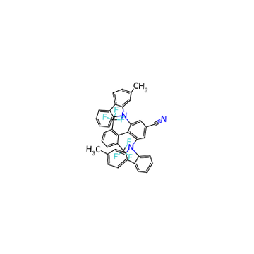 Cc1ccc2c3ccccc3n(-c3cc(C#N)cc(-n4c5ccccc5c5ccc(C)cc54)c3-c3c(C(F)(F)F)cccc3C(F)(F)F)c2c1